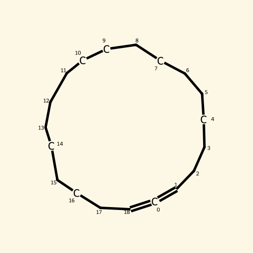 C1=CCCCCCCCCCCCCCCCCC=1